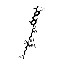 CNCCCC[C@H](N)C(=O)NCCCC(=O)COc1cc(C)c(Cc2ccc(O)c(C(C)C)c2)c(C)c1